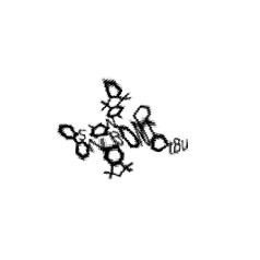 Cc1cc2c3c(c1)N(c1cccc4c1sc1ccccc14)c1cc4c(cc1B3c1ccc(N3c5ccc(C(C)(C)C)cc5C5(C)CCCCC35C)cc1N2c1cc2c(cc1C)C(C)(C)c1ccccc1C2(C)C)C(C)(C)CC4(C)C